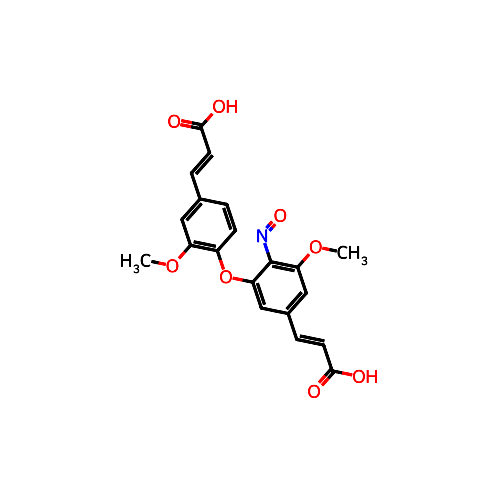 COc1cc(/C=C/C(=O)O)ccc1Oc1cc(/C=C/C(=O)O)cc(OC)c1N=O